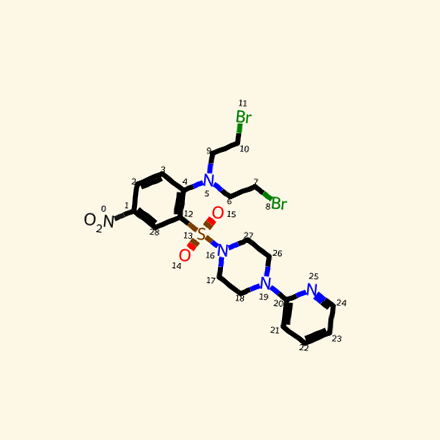 O=[N+]([O-])c1ccc(N(CCBr)CCBr)c(S(=O)(=O)N2CCN(c3ccccn3)CC2)c1